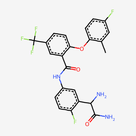 Cc1cc(F)ccc1Oc1ccc(C(F)(F)F)cc1C(=O)Nc1ccc(F)c(C(N)C(N)=O)c1